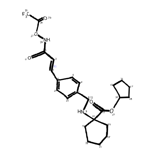 O=C(/C=C/c1ccc(CNC2(C(=O)OC3CCCC3)CCCCC2)cc1)NOC(=O)C(F)(F)F